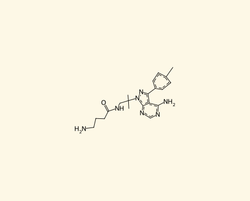 Cc1ccc(-c2nn(C(C)(C)CNC(=O)CCCN)c3ncnc(N)c23)cc1